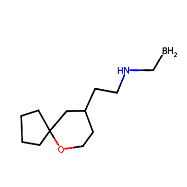 BCNCCC1CCOC2(CCCC2)C1